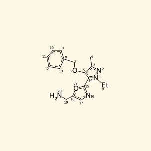 CCn1nc(C)c(OCc2ccccc2)c1-c1ncc(CN)o1